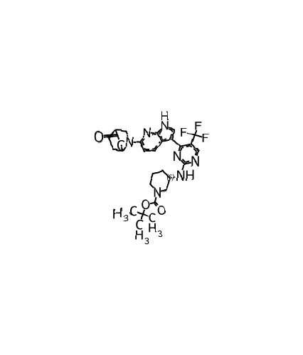 CC(C)(C)OC(=O)N1CCC[C@H](Nc2ncc(C(F)(F)F)c(-c3c[nH]c4nc(N5CC6CCC5CC6=O)ccc34)n2)C1